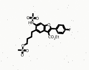 CCOC(=O)c1c(-c2ccc(F)cc2)oc2cc(NS(C)(=O)=O)c(CCCCOS(C)(=O)=O)cc12